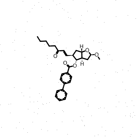 CCCCCC(=O)/C=C/[C@H]1C[C@@H]2O[C@@H](OC)C[C@H]2[C@@H]1OC(=O)c1ccc(-c2ccccc2)cc1